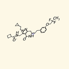 CC(F)(F)COc1cccc(C/C=C2\Cc3nn(CCC4CC4)c(CN[S+]([O-])C4CCC4)c3C(=O)N2)c1